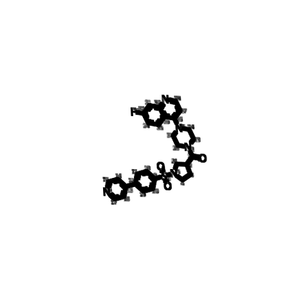 O=C(C1CCN(S(=O)(=O)c2ccc(-c3ccncc3)cc2)C1)N1CCN(c2ccnc3cc(F)ccc23)CC1